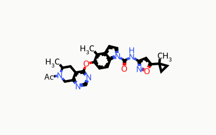 CC(=O)N1Cc2ncnc(Oc3ccc4c(ccn4C(=O)Nc4cc(C5(C)CC5)on4)c3C)c2CC1C